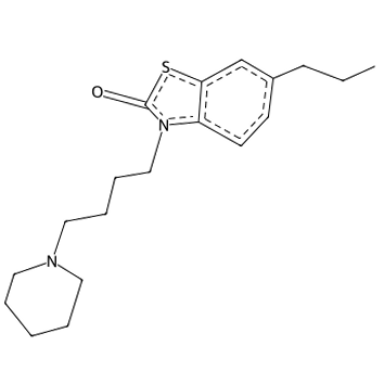 CCCc1ccc2c(c1)sc(=O)n2CCCCN1CCCCC1